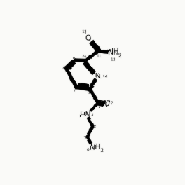 NCCNC(=O)c1cccc(C(N)=O)n1